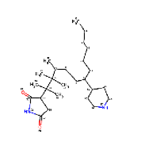 CCCCCCC(CCC(C)C(C)(C)C(C)(C)C1CC(=O)NC1=O)C1CCNCC1